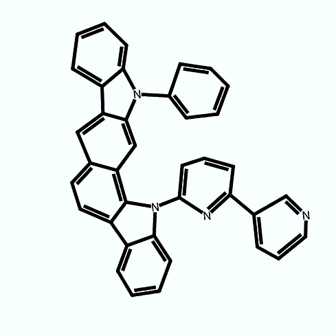 c1ccc(-n2c3ccccc3c3cc4ccc5c6ccccc6n(-c6cccc(-c7cccnc7)n6)c5c4cc32)cc1